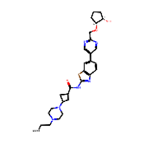 COCCN1CCN(C2CC(C(=O)Nc3nc4ccc(-c5cnc(CO[C@H]6CCC[C@@H]6O)nc5)cc4s3)C2)CC1